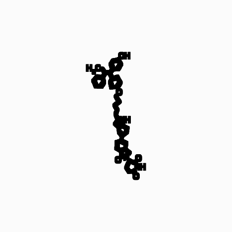 CCC(=C(c1ccc(O)cc1)c1ccc(OCCCCCc2cc3cc(-c4ccc5c(c4)CN(C4CCC(=O)NC4=O)C5=O)ccc3[nH]2)cc1)c1ccccc1